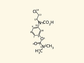 CN(C)C(=O)Oc1cccc(N(CCCl)C(=O)O)c1